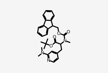 CN(C)c1cc(CC(C(=O)OC(C)(C)C)N(C)C(=O)OCC2c3ccccc3-c3ccccc32)ccn1